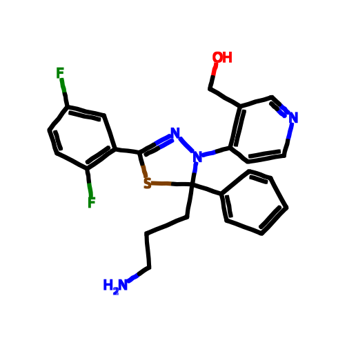 NCCCC1(c2ccccc2)SC(c2cc(F)ccc2F)=NN1c1ccncc1CO